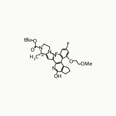 COCCOc1cc(F)cc(F)c1-c1c(-c2cc3n(n2)CCN(C(=O)OC(C)(C)C)[C@@H]3C)nc(O)c2c1CCC2